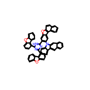 c1ccc2cc3c(cc2c1)c1ccccc1n3-c1cc2c(cc1C1=NC(c3cccc4oc5ccccc5c34)=NC(c3cccc4oc5ccccc5c34)N1)oc1ccc3ccccc3c12